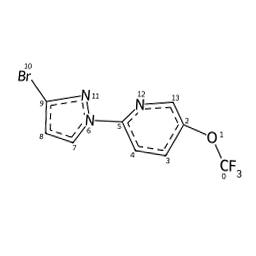 FC(F)(F)Oc1ccc(-n2ccc(Br)n2)nc1